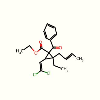 C/C=C/CC1(CC)C(C=C(Cl)Cl)C1(C(=O)OCC)C(=O)c1ccccc1